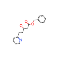 O=C(/C=C/c1ccccn1)CC(=O)OCc1ccccc1